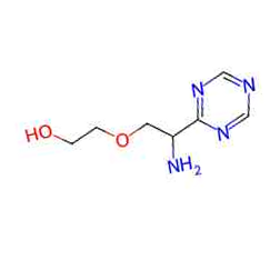 NC(COCCO)c1ncncn1